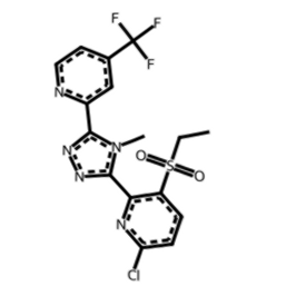 CCS(=O)(=O)c1ccc(Cl)nc1-c1nnc(-c2cc(C(F)(F)F)ccn2)n1C